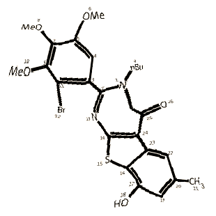 CCCCn1c(-c2cc(OC)c(OC)c(OC)c2Br)nc2sc3c(O)cc(C)cc3c2c1=O